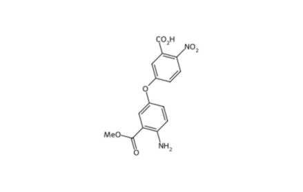 COC(=O)c1cc(Oc2ccc([N+](=O)[O-])c(C(=O)O)c2)ccc1N